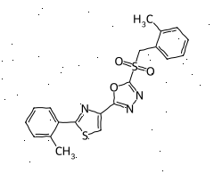 Cc1ccccc1CS(=O)(=O)c1nnc(-c2csc(-c3ccccc3C)n2)o1